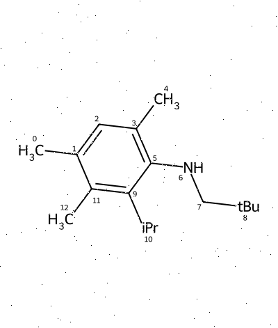 Cc1cc(C)c(NCC(C)(C)C)c(C(C)C)c1C